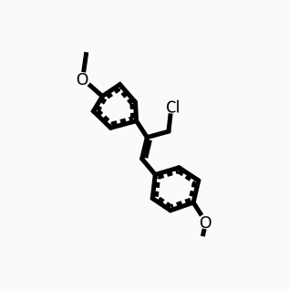 COc1ccc(C=C(CCl)c2ccc(OC)cc2)cc1